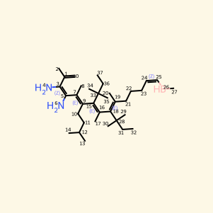 C=C(C)\C(N)=C(N)/C(C)=C(CCC(C)C)/C(=C(C)/C(=C(\C)CCC/C=C\BC)C(C)(C)CC)C(C)(C)CC